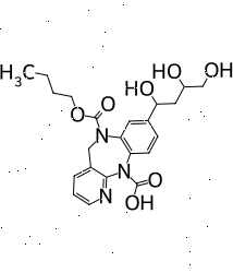 CCCCOC(=O)N1Cc2cccnc2N(C(=O)O)c2ccc(C(O)CC(O)CO)cc21